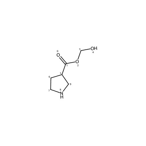 O=C(OCO)C1CCNC1